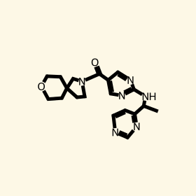 CC(Nc1ncc(C(=O)N2CCC3(CCOCC3)C2)cn1)c1ccncn1